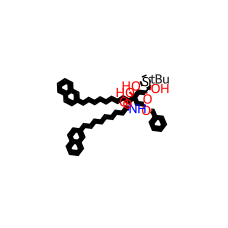 CC(C)(C)[Si](C)(C)C(O)[C@H]1O[C@H](OCc2ccccc2)[C@@H](NC(=O)CCCCCCCCc2ccc3ccccc3c2)[C@](O)(C(=O)CCCCCCCCc2ccc3ccccc3c2)[C@@H]1O